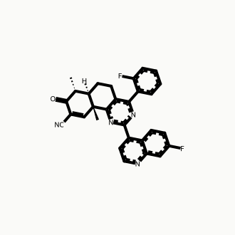 C[C@H]1C(=O)C(C#N)=C[C@@]2(C)c3nc(-c4ccnc5cc(F)ccc45)nc(-c4ccccc4F)c3CC[C@H]12